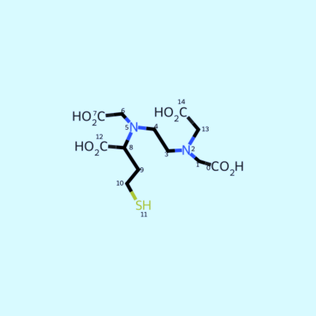 O=C(O)CN(CCN(CC(=O)O)C(CCS)C(=O)O)CC(=O)O